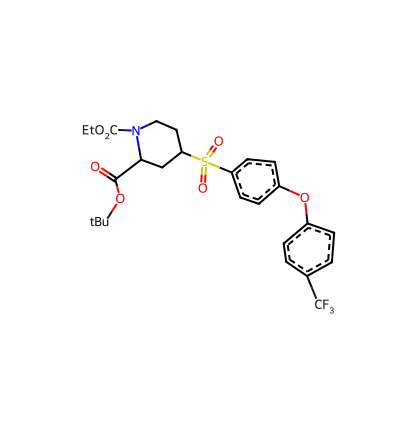 CCOC(=O)N1CCC(S(=O)(=O)c2ccc(Oc3ccc(C(F)(F)F)cc3)cc2)CC1C(=O)OC(C)(C)C